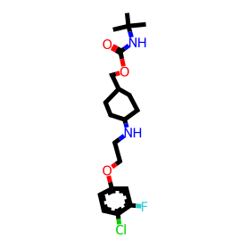 CC(C)(C)NC(=O)OCC1CCC(NCCOc2ccc(Cl)c(F)c2)CC1